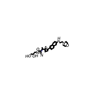 C/C(=C(/C#N)C(=O)NCC(O)CO)c1ccc(-c2ccc3cc(NCCN4CCOCC4)ccc3c2)n1C